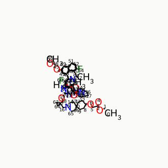 CCOC(=O)COC1CCC2(CC1)CCN(CC1(COc3nc(N4CC5CCC(C4)N5C(=O)OC(C)(C)C)c4cnc(-c5cc(OCOC)cc6ccc(F)c(CC)c56)c(F)c4n3)CC1)CC2